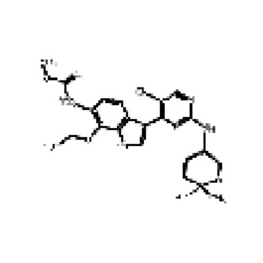 CCOc1c(NC(=O)OC)ccc2c(-c3nc(NC4CCC(C)(C)NC4)ncc3Cl)c[nH]c12